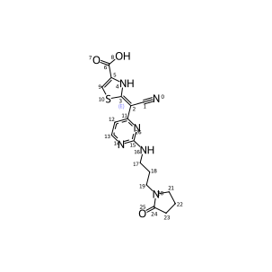 N#C/C(=C1\NC(C(=O)O)=CS1)c1ccnc(NCCCN2CCCC2=O)n1